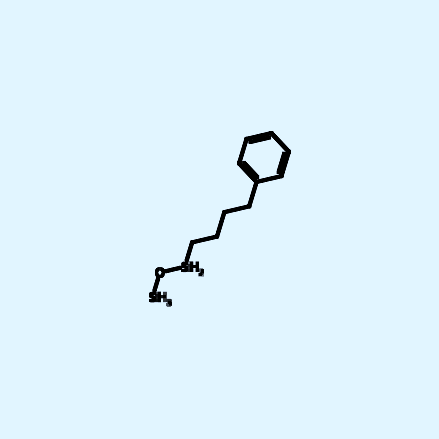 [SiH3]O[SiH2]CCCCc1ccccc1